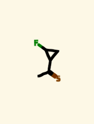 CC(=S)C1CC1F